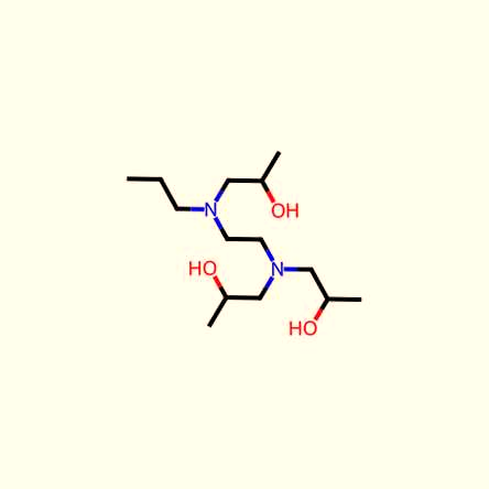 CCCN(CCN(CC(C)O)CC(C)O)CC(C)O